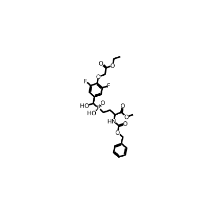 CCOC(=O)COc1c(F)cc(C(O)P(=O)(O)CCC(NC(=O)OCc2ccccc2)C(=O)OC)cc1F